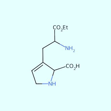 CCOC(=O)C(N)CC1=CCNC1C(=O)O